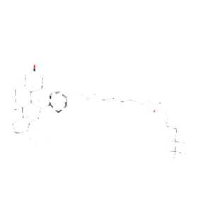 C[C@]12CCC(=O)C[C@@H]1CC[C@@H]1[C@@H]2[C@@H](c2ccc(OCCCCCCCCS(=O)(=O)CCCC(F)(F)C(F)(F)F)cc2)C[C@]2(C)[C@@H](O)CC[C@@H]12